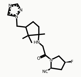 CC1(NCC(=O)N2C[C@@H](F)C[C@H]2C#N)CCC(Cn2cncn2)C1(C)C